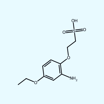 CCOc1ccc(OCCS(=O)(=O)O)c(N)c1